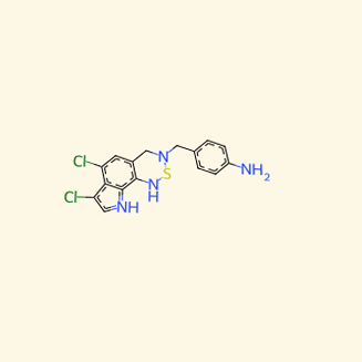 Nc1ccc(CN2Cc3cc(Cl)c4c(Cl)c[nH]c4c3NS2)cc1